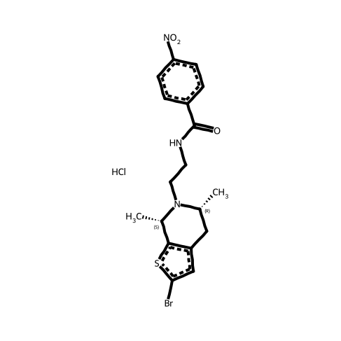 C[C@@H]1Cc2cc(Br)sc2[C@H](C)N1CCNC(=O)c1ccc([N+](=O)[O-])cc1.Cl